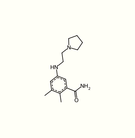 Cc1cc(NCCN2CCCC2)cc(C(N)=O)c1C